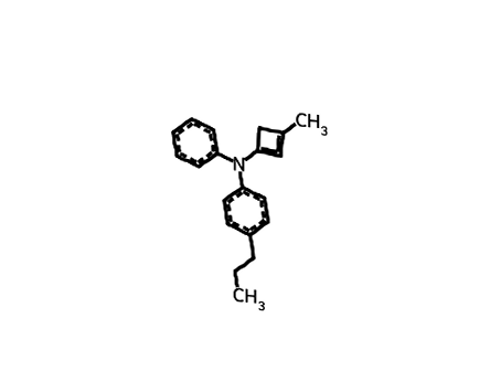 CCCc1ccc(N(C2=C=C(C)C2)c2ccccc2)cc1